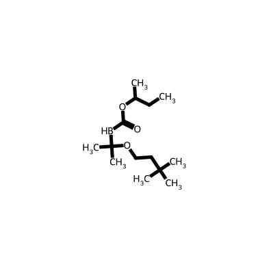 CCC(C)OC(=O)BC(C)(C)OCCC(C)(C)C